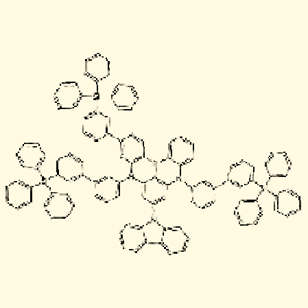 c1ccc([Si](c2ccccc2)(c2ccccc2)c2cccc(-c3cccc(N4c5ccccc5B5c6ccc(-c7cccc([Si](c8ccccc8)(c8ccccc8)c8ccccc8)c7)cc6N(c6cccc(-c7cccc([Si](c8ccccc8)(c8ccccc8)c8ccccc8)c7)c6)c6cc(-n7c8ccccc8c8ccccc87)cc4c65)c3)c2)cc1